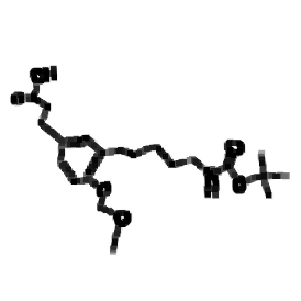 COCOc1ccc(CCC(=O)O)cc1CCCCCNC(=O)OC(C)(C)C